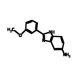 COc1cccc(-c2nc3cc(N)ccc3[nH]2)c1